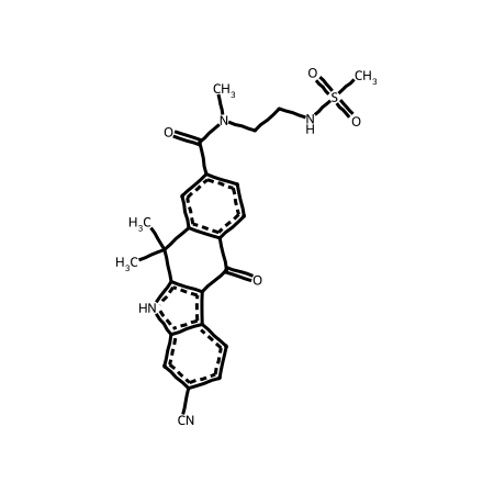 CN(CCNS(C)(=O)=O)C(=O)c1ccc2c(c1)C(C)(C)c1[nH]c3cc(C#N)ccc3c1C2=O